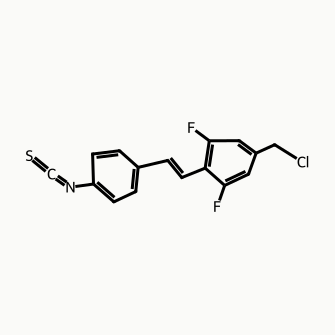 Fc1cc(CCl)cc(F)c1C=Cc1ccc(N=C=S)cc1